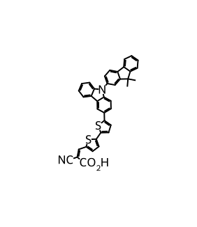 CC1(C)c2ccccc2-c2ccc(-n3c4ccccc4c4cc(-c5ccc(-c6ccc(/C=C(/C#N)C(=O)O)s6)s5)ccc43)cc21